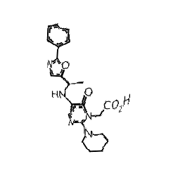 C[C@@H](Nc1cnc(N2CCCCC2)n(CC(=O)O)c1=O)c1cnc(-c2ccccc2)o1